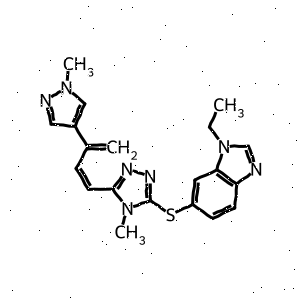 C=C(/C=C\c1nnc(Sc2ccc3ncn(CC)c3c2)n1C)c1cnn(C)c1